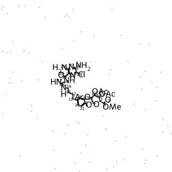 COC(=O)C1OC(Oc2ccc(CCCCNC(=N)NC(=O)c3nc(Cl)c(N)nc3N)cc2)C(OC(C)=O)C(OC(C)=O)C1OC(C)=O